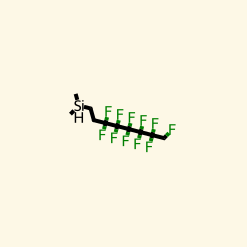 C[SiH](C)CCC(F)(F)C(F)(F)C(F)(F)C(F)(F)C(F)(F)CF